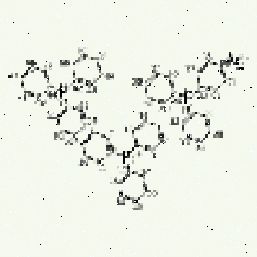 [Ag].c1ccc(P(c2ccccc2)c2ccccc2)cc1.c1ccc(P(c2ccccc2)c2ccccc2)cc1.c1ccc(P(c2ccccc2)c2ccccc2)cc1